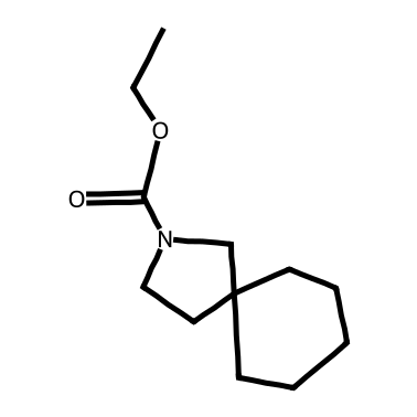 CCOC(=O)N1CCC2(CCCCC2)C1